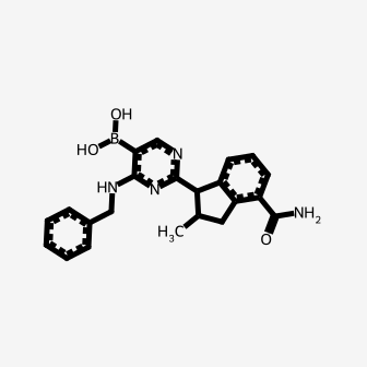 CC1Cc2c(C(N)=O)cccc2C1c1ncc(B(O)O)c(NCc2ccccc2)n1